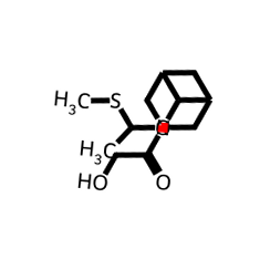 CSC(C)OC1C2CC1CN(C(=O)CO)C2